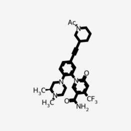 CC(=O)N1CCCC(C#Cc2ccc(N3CCN(C)[C@@H](C)C3)c(-n3cc(C(N)=O)c(C(F)(F)F)cc3=O)c2)C1